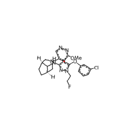 COc1cc(N2C[C@H]3CC[C@@H](C2)C3Nc2nc(Oc3cccc(Cl)c3)n(CCF)n2)cnn1